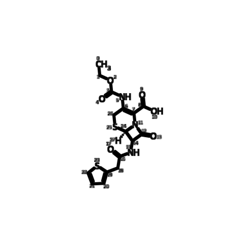 CCOC(=O)NC1=C(C(=O)O)N2C(=O)C(NC(=O)Cc3cccs3)[C@H]2SC1